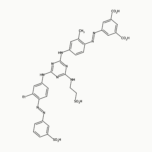 CCc1cc(Nc2nc(NCCS(=O)(=O)O)nc(Nc3ccc(/N=N/c4cc(C(=O)O)cc(C(=O)O)c4)c(C)c3)n2)ccc1/N=N/c1cccc(S(=O)(=O)O)c1